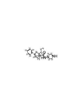 CCC[C@]12CC3CC1(C(=O)NN1CCNCC1)C[C@@](c1ccccc1)(C3)C2